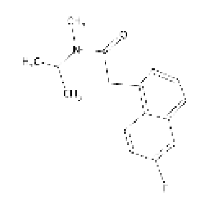 CC(C)N(C)C(=O)Cc1cccc2cc(F)ccc12